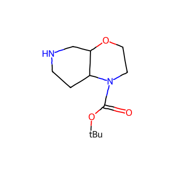 CC(C)(C)OC(=O)N1CCOC2CNCCC21